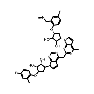 C=NCc1cc(F)ccc1O[C@@H]1C[C@H](n2ccc3c(C)nc(Cc4ncnc5c4ccn5C4CC(Oc5ccc(F)cc5C)[C@@H](O)[C@H]4O)nc32)C(O)C1O